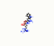 N=C(N)NCCC[C@H](NC(=O)[C@@H](N)Cc1c[nH]c2ccccc12)C(=O)O